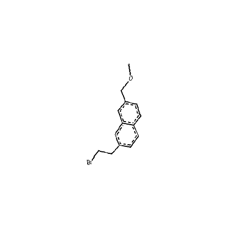 COCc1ccc2ccc(CCBr)cc2c1